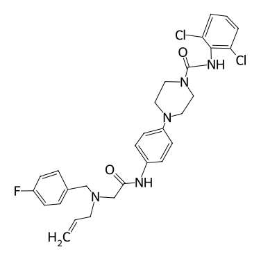 C=CCN(CC(=O)Nc1ccc(N2CCN(C(=O)Nc3c(Cl)cccc3Cl)CC2)cc1)Cc1ccc(F)cc1